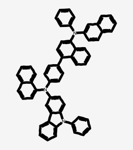 c1ccc(N(c2ccc3ccccc3c2)c2ccc(-c3ccc(N(c4ccc5c(c4)c4ccccc4n5-c4ccccc4)c4cccc5ccccc45)cc3)c3ccccc23)cc1